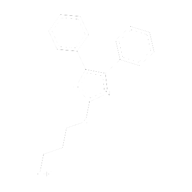 O=CCCCSc1nc(-c2ccccc2)c(-c2ccccc2)o1